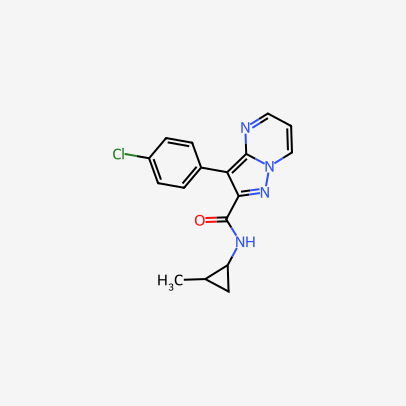 CC1CC1NC(=O)c1nn2cccnc2c1-c1ccc(Cl)cc1